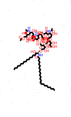 CCCCCCCC/C=C\CCCCCCCCCCCCCC(=O)N[C@@H](CO[C@@H]1OC(CO)[C@@H](O[C@@H]2OC(CO)[C@H](O)[C@H](O[C@]3(C(=O)O)CC(O)[C@@H](NC(C)=O)C([C@H](O)[C@@H](CO)O[C@]4(C(=O)O)CC(O)[C@@H](NC(C)=O)C([C@H](O)[C@@H](CO)O[C@]5(C(=O)O)CC(O)[C@@H](NC(C)=O)C([C@H](O)[C@H](O)COC(C)=O)O5)O4)O3)C2O)[C@H](O)C1O)[C@H](O)/C=C/CCCCCCCCCCCCC